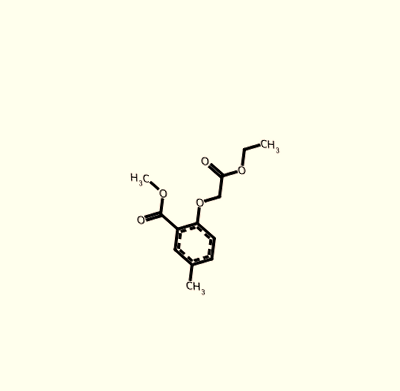 CCOC(=O)COc1ccc(C)cc1C(=O)OC